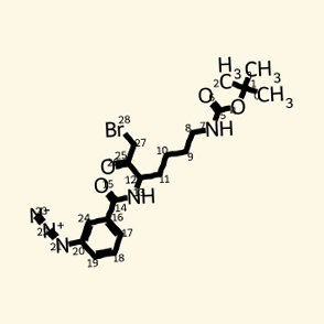 CC(C)(C)OC(=O)NCCCCC(NC(=O)c1cccc(N=[N+]=[N-])c1)C(=O)CBr